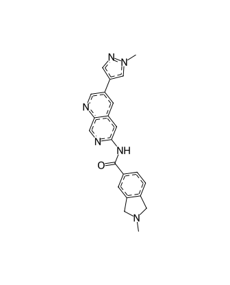 CN1Cc2ccc(C(=O)Nc3cc4cc(-c5cnn(C)c5)cnc4cn3)cc2C1